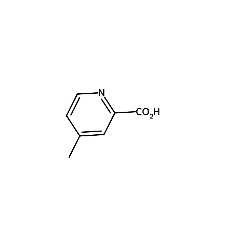 Cc1ccnc(C(=O)O)c1